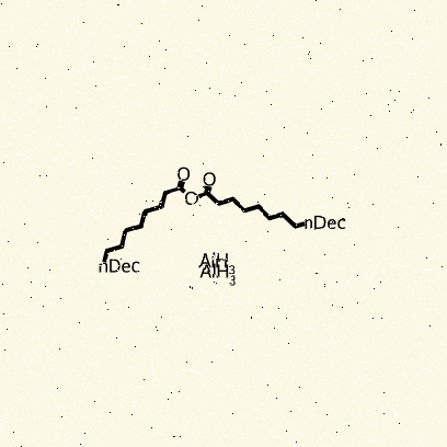 CCCCCCCCCCCCCCCCCC(=O)OC(=O)CCCCCCCCCCCCCCCCC.[AlH3].[AlH3]